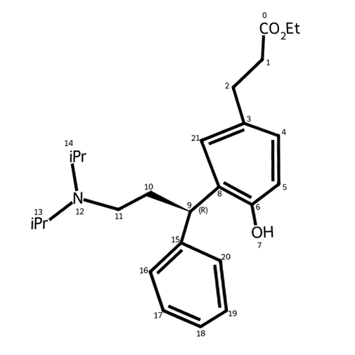 CCOC(=O)CCc1ccc(O)c([C@H](CCN(C(C)C)C(C)C)c2ccccc2)c1